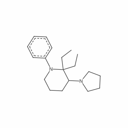 CCC1(CC)C(N2CCCC2)CCCN1c1ccccc1